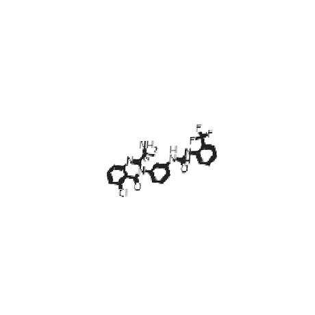 C[C@H](N)c1nc2cccc(Cl)c2c(=O)n1-c1cccc(NC(=O)Nc2ccccc2C(F)(F)F)c1